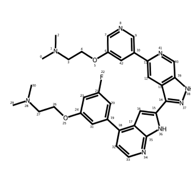 CN(C)CCOc1cncc(-c2cc3c(-c4cc5c(-c6cc(F)cc(OCCN(C)C)c6)ccnc5[nH]4)n[nH]c3cn2)c1